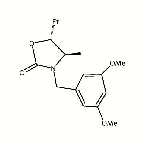 CC[C@H]1OC(=O)N(Cc2cc(OC)cc(OC)c2)[C@@H]1C